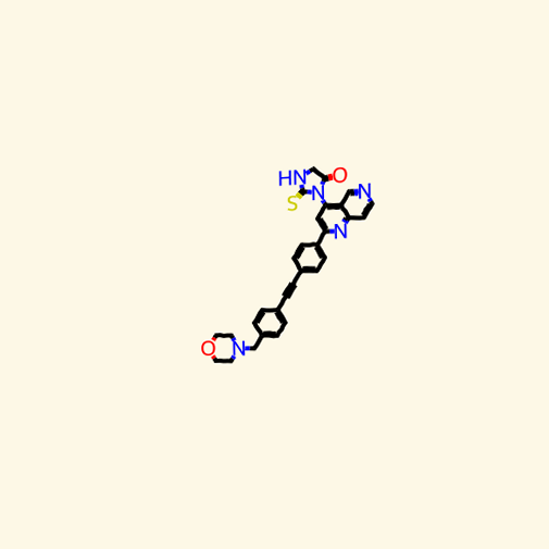 O=C1CNC(=S)N1c1cc(-c2ccc(C#Cc3ccc(CN4CCOCC4)cc3)cc2)nc2ccncc12